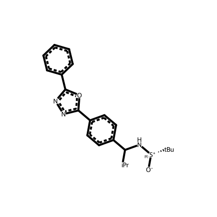 CC(C)C(N[S@@+]([O-])C(C)(C)C)c1ccc(-c2nnc(-c3ccccc3)o2)cc1